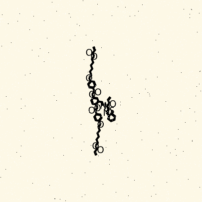 C=CC(=O)OCCCCCCOc1ccc(C(=O)Oc2ccc(OC(=O)c3ccc(OCCCCCCOC(=O)C=C)cc3)c(/C=N/N(C(=O)C=C)c3nc4ccccc4s3)c2)cc1